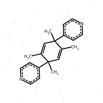 CC1=CC(C)(c2ccncc2)C(C)=CC1(C)c1ccncc1